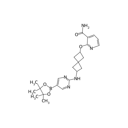 CC1(C)OB(c2cnc(NC3CC4(C3)CC(Oc3ncccc3C(N)=O)C4)nc2)OC1(C)C